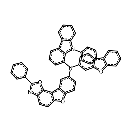 c1ccc(-c2nc3ccc4oc5ccc(N(c6ccc7c(c6)oc6ccccc67)c6cccc7c8ccccc8n(-c8ccccc8)c67)cc5c4c3o2)cc1